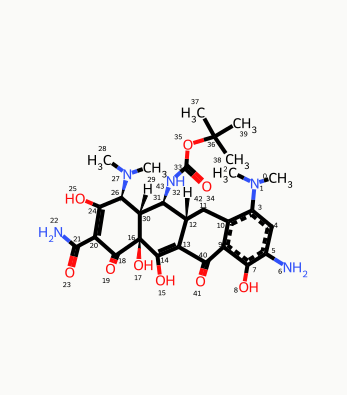 CN(C)c1cc(N)c(O)c2c1C[C@@H]1C(=C(O)[C@]3(O)C(=O)C(C(N)=O)=C(O)[C@@H](N(C)C)[C@@H]3[C@H]1NC(=O)OC(C)(C)C)C2=O